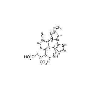 O=C(O)CC(C(=O)O)C1CNCCc2c1ccc(Cl)c2-n1nc(C(F)(F)F)cc1-c1cccs1